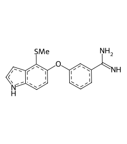 CSc1c(Oc2cccc(C(=N)N)c2)ccc2[nH]ccc12